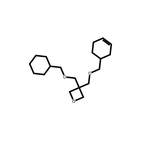 C1=CCC(COCC2(COCC3CCCCC3)COC2)CC1